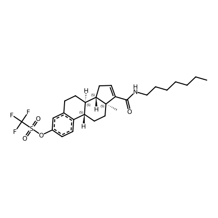 CCCCCCCNC(=O)C1=CC[C@H]2[C@@H]3CCc4cc(OS(=O)(=O)C(F)(F)F)ccc4[C@H]3CC[C@]12C